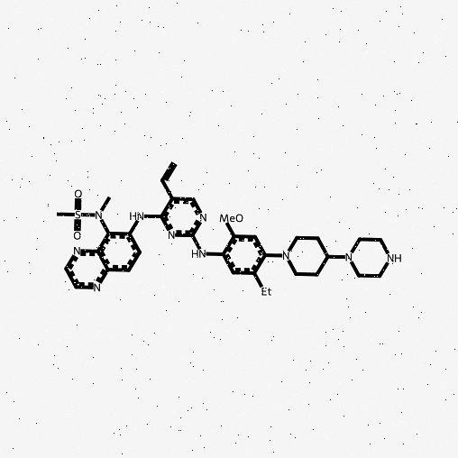 C=Cc1cnc(Nc2cc(CC)c(N3CCC(N4CCNCC4)CC3)cc2OC)nc1Nc1ccc2nccnc2c1N(C)S(C)(=O)=O